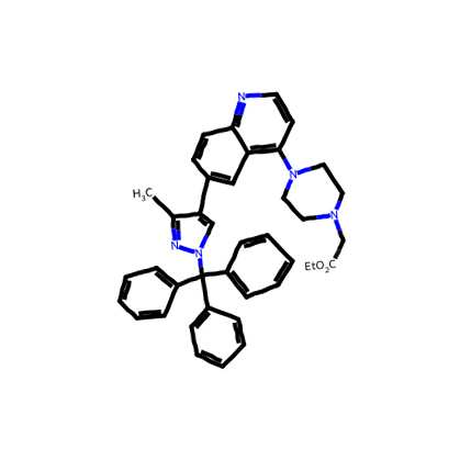 CCOC(=O)CN1CCN(c2ccnc3ccc(-c4cn(C(c5ccccc5)(c5ccccc5)c5ccccc5)nc4C)cc23)CC1